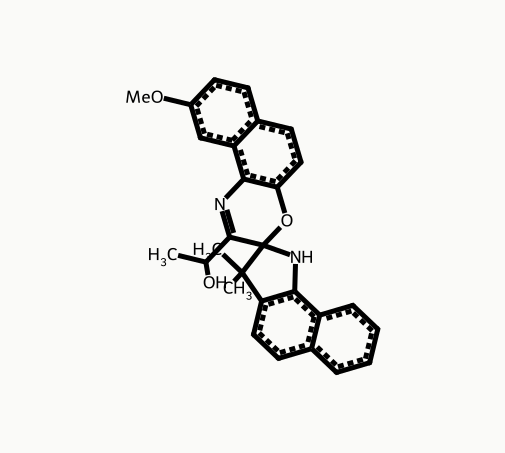 COc1ccc2ccc3c(c2c1)N=C(C(C)O)C1(Nc2c(ccc4ccccc24)C1(C)C)O3